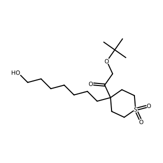 CC(C)(C)OCC(=O)C1(CCCCCCCO)CCS(=O)(=O)CC1